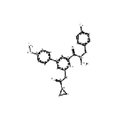 N#Cc1ccc(CN(C(=O)O)C(=O)c2cc(-c3ccc(OC(F)(F)F)cc3)cc(NC(=O)C3CC3)n2)cc1